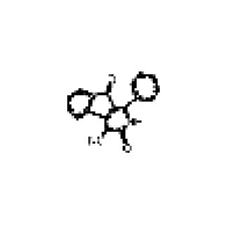 N#Cc1c2c(c(-c3ccccc3)[nH]c1=O)C(=O)c1ccccc1-2